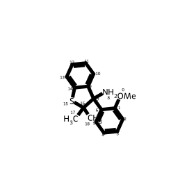 COc1ccccc1C1(N)c2ccccc2SC1(C)C